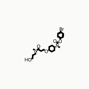 CN(CCCO)C(=O)CCO[C@H]1CC[C@H](N(C)C(=O)Oc2ccc(Br)cc2)CC1